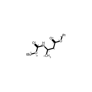 CC(CC(=O)OC(C)C)NC(=O)OC(C)(C)C